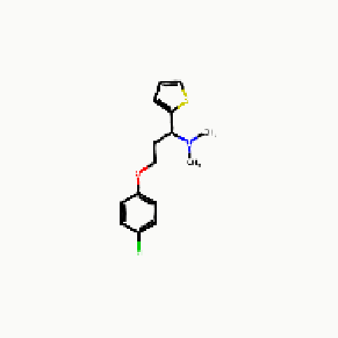 CN(C)C(CCOc1ccc(Cl)cc1)c1cccs1